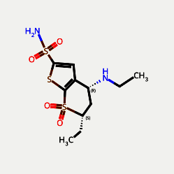 CCN[C@@H]1C[C@H](CC)S(=O)(=O)c2sc(S(N)(=O)=O)cc21